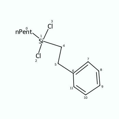 CCCCC[Si](Cl)(Cl)CCc1ccccc1